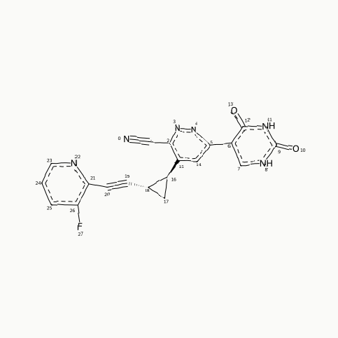 N#Cc1nnc(-c2c[nH]c(=O)[nH]c2=O)cc1[C@H]1C[C@@H]1C#Cc1ncccc1F